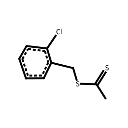 CC(=S)SCc1ccccc1Cl